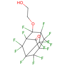 O=C1C2(F)C(F)(F)C3(F)C(F)(F)C1(F)C(F)(OCCO)C(F)(C2(F)F)C3(F)F